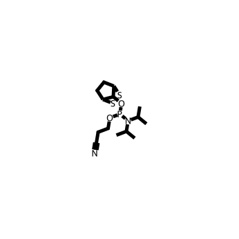 CC(C)N(C(C)C)P(OCCC#N)OC1C2CCC1SS2